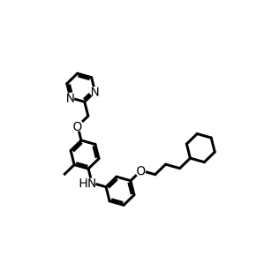 Cc1cc(OCc2ncccn2)ccc1Nc1cccc(OCCCC2CCCCC2)c1